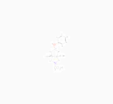 O=C(O)N1C[C@H]2C[C@@H](Oc3ccccc3)C[C@H]2C1